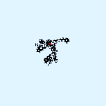 CCC1(COCC(COCCCc2ccccc2)OC(=O)CC(CC)(CC(=O)OC(COCC(Cc2ccccc2)OCOC)COCC2(CC)COC2)CC(=O)OC(COCC(CC2CCCC2)OC2CO2)COCC2(CC)COC2)COC1